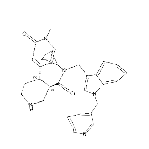 Cn1ccc([C@H]2CCNC[C@@H]2C(=O)N(Cc2cn(Cc3cccnc3)c3ccccc23)C2CC2)cc1=O